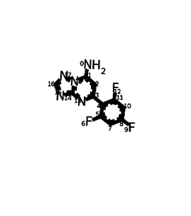 Nc1cc(-c2c(F)cc(F)cc2F)nc2ncnn12